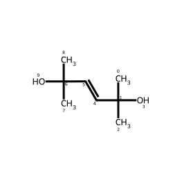 CC(C)(O)/C=C/C(C)(C)O